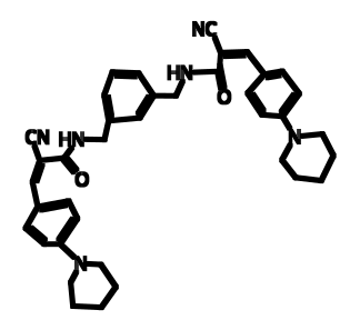 N#C/C(=C/c1ccc(N2CCCCC2)cc1)C(=O)NCc1cccc(CNC(=O)/C(C#N)=C\c2ccc(N3CCCCC3)cc2)c1